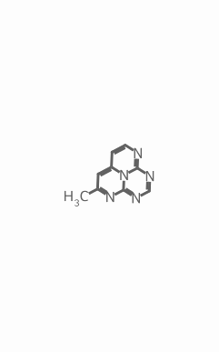 CC1=NC2=NC=NC3=NC=CC(=C1)N32